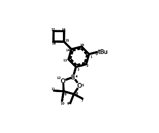 CC(C)(C)c1cc(B2OC(C)(C)C(C)(C)O2)cc(C2CCC2)c1